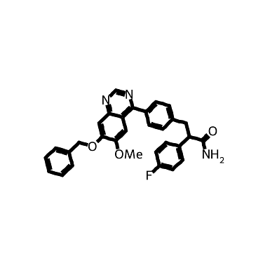 COc1cc2c(-c3ccc(CC(C(N)=O)c4ccc(F)cc4)cc3)ncnc2cc1OCc1ccccc1